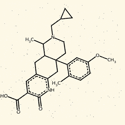 COc1ccc(C)c(C23CCN(CC4CC4)C(C)C2Cc2cc(C(=O)O)c(=O)[nH]c2C3)c1